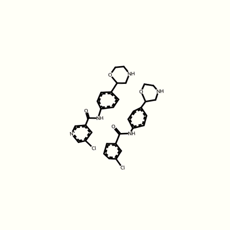 O=C(Nc1ccc(C2CNCCO2)cc1)c1cccc(Cl)c1.O=C(Nc1ccc(C2CNCCO2)cc1)c1cncc(Cl)c1